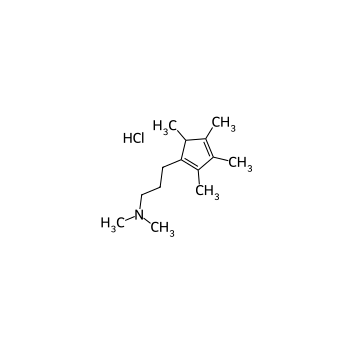 CC1=C(C)C(C)C(CCCN(C)C)=C1C.Cl